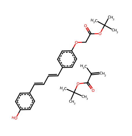 C=C(C)C(=O)OC(C)(C)C.CC(C)(C)OC(=O)COc1ccc(C=CC=Cc2ccc(O)cc2)cc1